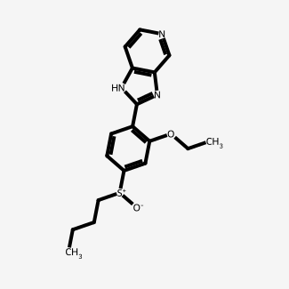 CCCC[S+]([O-])c1ccc(-c2nc3cnccc3[nH]2)c(OCC)c1